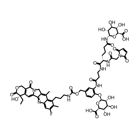 CC[C@@]1(O)C(=O)OCc2c1cc1n(c2=O)Cc2c-1nc1cc(F)c(C)c(CCCNC(=O)OCc3ccc(O[C@@H]4O[C@H](C(=O)O)[C@@H](O)[C@H](O)[C@H]4O)c(NC(=O)CCNC(=O)[C@H](CCCC(=O)N[C@H]4O[C@H](C(=O)O)[C@@H](O)[C@H](O)[C@H]4O)NC(=O)CN4C(=O)C=CC4=O)c3)c1c2C